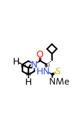 CNC(=S)N[C@@H](CC1CCC1)C(=O)N1C[C@H]2C[C@@H](C1)C2(C)C